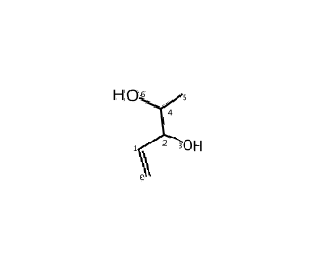 [CH]=CC(O)C(C)O